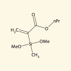 C=C(C(=O)OCCC)[Si](C)(OC)OC